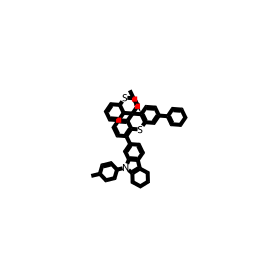 CC1C=CC(n2c3c(c4ccc(-c5cccc6c5Sc5cc(C7=CCCC=C7)ccc5C65C6=CCCCC6(C)SC6C=CC=CC65)cc42)CCCC3)CC1